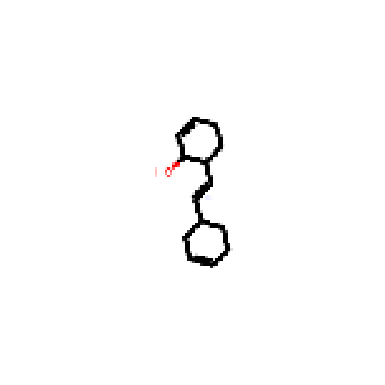 OC1C=CCCC1/C=C/C1CC=CCC1